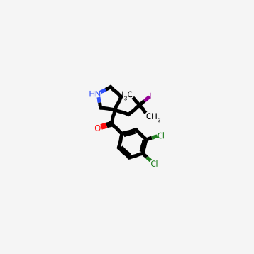 CC(C)(I)CC1(C(=O)c2ccc(Cl)c(Cl)c2)CCNC1